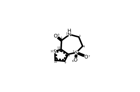 O=C1NCCS(=O)(=O)c2ccsc21